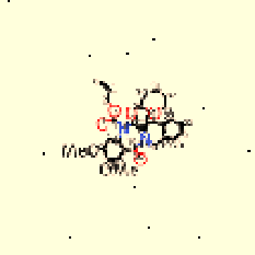 C=CCOC(=O)N1c2cc(OC)c(OC)cc2C(=O)N2Cc3ccccc3C[C@H]2C1OC1CCCCO1